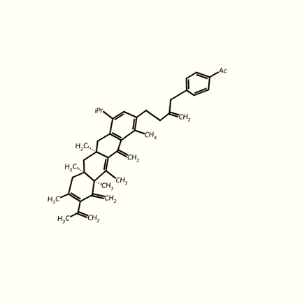 C=C(CCc1cc(C(C)C)c2c(c1C)C(=C)C1=C(C)[C@@]3(C)C(=C)C(C(=C)C)=C(C)C[C@@]3(C)C[C@@]1(C)C2)Cc1ccc(C(C)=O)cc1